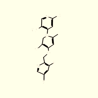 CC1=CC(OCc2ncc(F)cc2F)=C(Cl)CN1c1cc(Cl)ncc1C(F)(F)F